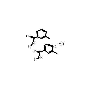 CCNC(=N)c1cccc(C)c1.CCNC(=N)c1cccc(C)c1.Cl.Cl